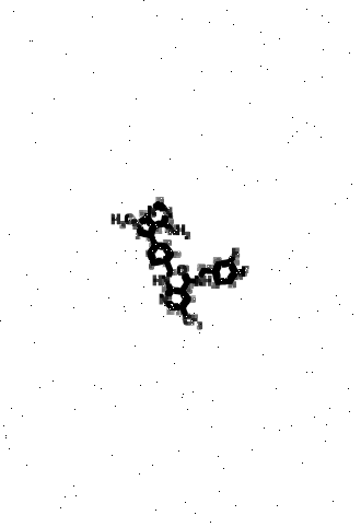 Cn1cc(-c2ccc(CNc3ncc(C(F)(F)F)cc3C(=O)NCc3ccc(F)c(F)c3)cc2)c2c(N)ncnc21